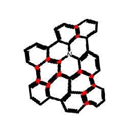 c1ccc(-c2ccc(-c3ccccc3)c(N(c3ccccc3-c3cccc4ccccc34)c3ccccc3-c3cccc4cccc(-c5ccccc5)c34)c2)cc1